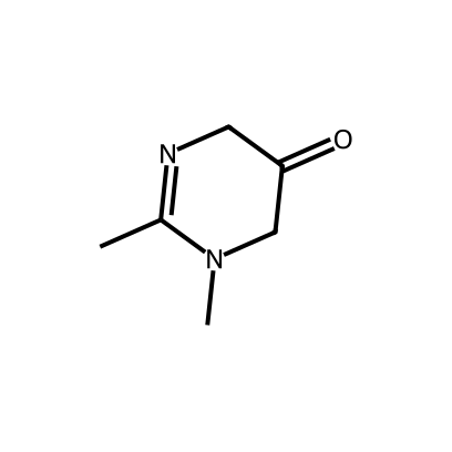 CC1=NCC(=O)CN1C